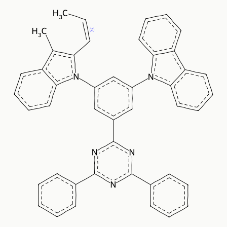 C/C=C\c1c(C)c2ccccc2n1-c1cc(-c2nc(-c3ccccc3)nc(-c3ccccc3)n2)cc(-n2c3ccccc3c3ccccc32)c1